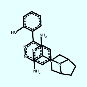 Nc1cc(N2C3CCC2CN(c2cc(-c4ccccc4O)nnc2N)C3)ccn1